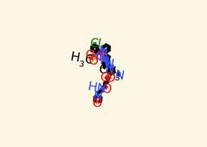 Cc1cn2nc([C@@H]3CCCCN3C(=O)c3cc(Cl)ccc3NS(C)(=O)=O)cc2nc1N1C[C@H](C#N)[C@H](OC(=O)CCC(=O)NCCN2CCOCC2)C1